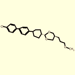 COCCC[C@H]1CO[C@H](C2CCC(c3ccc(-c4ccc(Cl)cc4)cc3)CC2)OC1